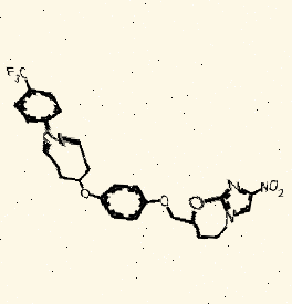 O=[N+]([O-])c1cn2c(n1)OC(COc1ccc(OC3CCN(c4ccc(C(F)(F)F)cc4)CC3)cc1)CC2